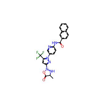 CC1NN(c2cc(C(F)(F)F)n(-c3ccc(NC(=O)c4ccc5ccccc5c4)nc3)n2)OC1=O